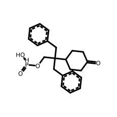 O=C1CCC(C(CO[PH](=O)O)(Cc2ccccc2)Cc2ccccc2)CC1